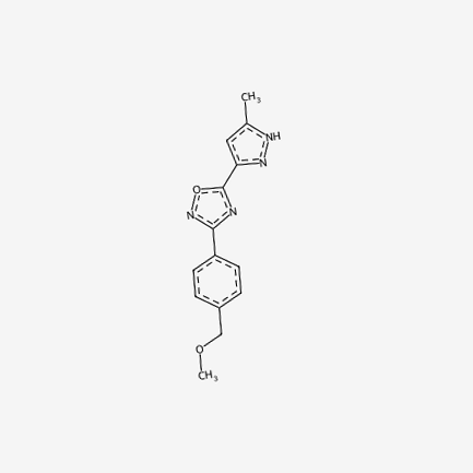 COCc1ccc(-c2noc(-c3cc(C)[nH]n3)n2)cc1